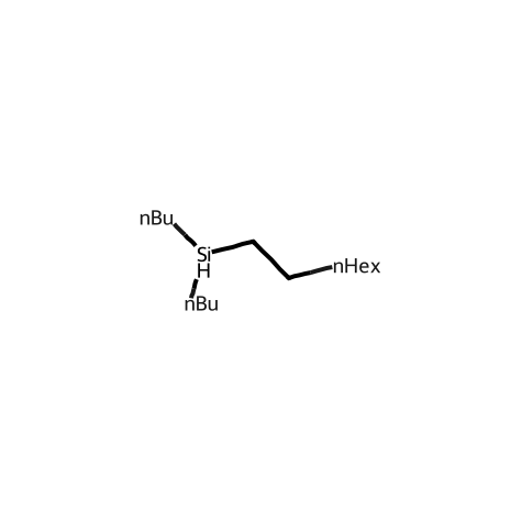 CCCCCCCC[SiH](CCCC)CCCC